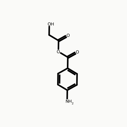 Nc1ccc(C(=O)OC(=O)CO)cc1